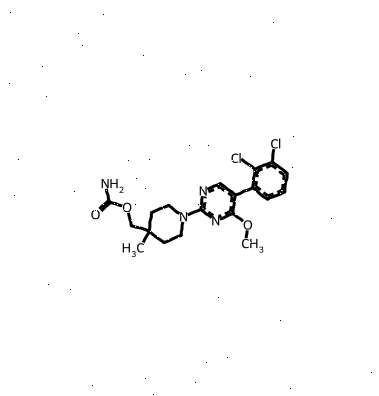 COc1nc(N2CCC(C)(COC(N)=O)CC2)ncc1-c1cccc(Cl)c1Cl